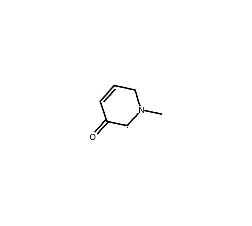 CN1[CH]C(=O)C=CC1